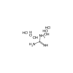 Cl.Cl.Cl.Cl.Cl.Cl.N=C(N)N